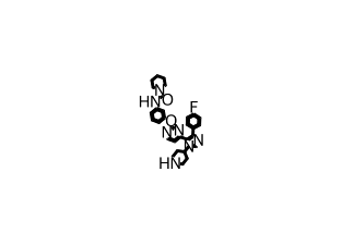 O=C(Nc1cccc(Oc2nccc(-c3c(-c4ccc(F)cc4)ncn3C3CCNCC3)n2)c1)N1CCCCC1